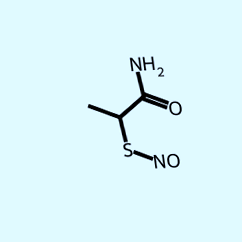 CC(SN=O)C(N)=O